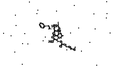 CC(=O)N[C@@H](CCc1ccccc1)C(=O)N[C@@H](CC(C)C)C(=O)N[C@H](C(=O)O)[C@@H](C)OC(=O)OCOP=O